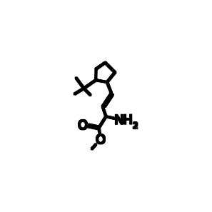 COC(=O)C(N)/C=C/C1CCCC1C(C)(C)C